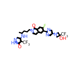 CC(CCCn1ccc2cc(-c3ncc(N4CC(O)(C(F)(F)F)C4)cn3)c(F)cc2c1=O)Nc1cn[nH]c(=O)c1C(F)(F)F